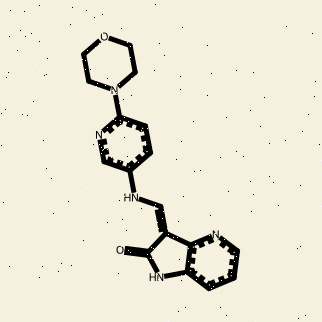 O=C1Nc2cccnc2C1=CNc1ccc(N2CCOCC2)nc1